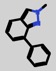 Cn1cc2cccc(-c3ccccc3)c2n1